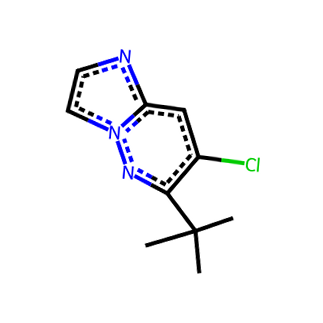 CC(C)(C)c1nn2ccnc2cc1Cl